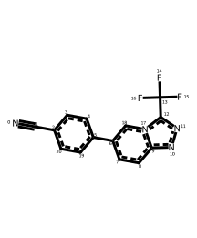 N#Cc1ccc(-c2ccc3nnc(C(F)(F)F)n3c2)cc1